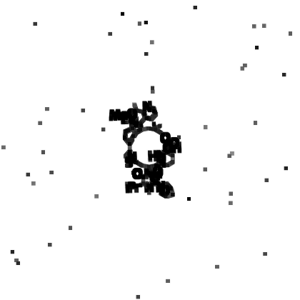 CCn1c(-c2cccnc2[C@H](C)OC)c2c3cc(ccc31)-c1csc(n1)C[C@H](NC(=O)[C@H](C(C)C)N(C)C(=O)N1CC3CC(C1)O3)C(=O)N1CCC[C@@](O)(N1)C(=O)OCC(C)(C)C2